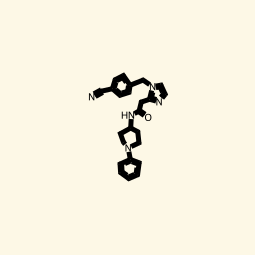 N#Cc1ccc(Cn2ccnc2CC(=O)NC2CCN(c3ccccc3)CC2)cc1